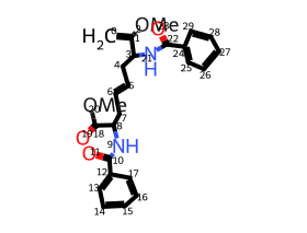 C=C(OC)C(CC=CCC(NC(=O)c1ccccc1)C(=O)OC)NC(=O)c1ccccc1